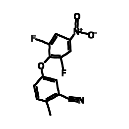 Cc1ccc(Oc2c(F)cc([N+](=O)[O-])cc2F)cc1C#N